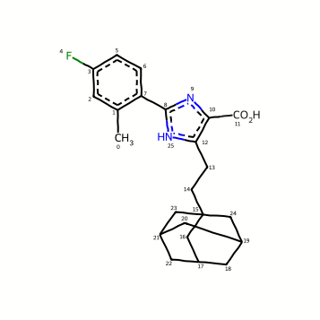 Cc1cc(F)ccc1-c1nc(C(=O)O)c(CCC23CC4CC(CC(C4)C2)C3)[nH]1